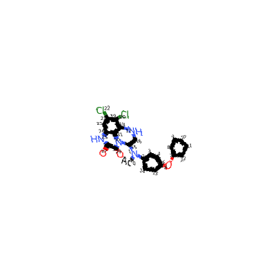 CC(=O)N(c1ccc(Oc2ccccc2)cc1)C1CNc2c(Cl)c(Cl)cc3[nH]c(=O)c(=O)n1c23